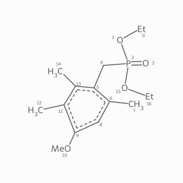 CCOP(=O)(Cc1c(C)cc(OC)c(C)c1C)OCC